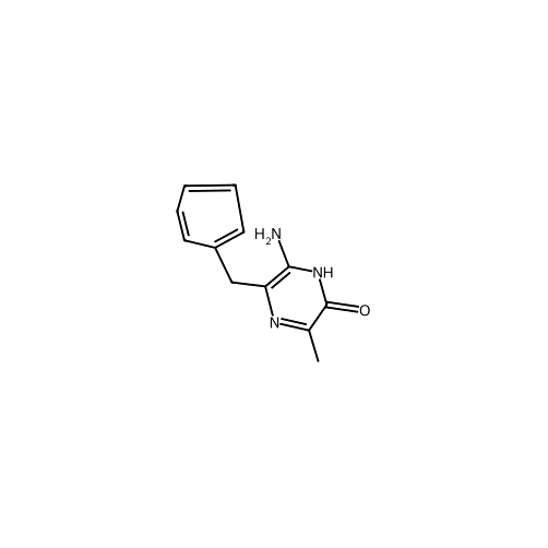 Cc1nc(Cc2ccccc2)c(N)[nH]c1=O